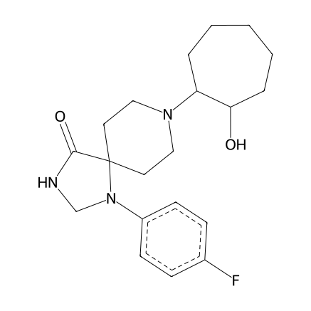 O=C1NCN(c2ccc(F)cc2)C12CCN(C1CCCCCC1O)CC2